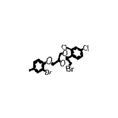 Cc1ccc(OCC2COC(CBr)(c3ccc(Cl)cc3Cl)O2)c(Br)c1